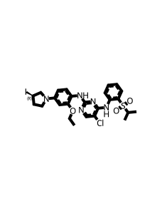 CCOc1cc(N2CC[C@@H](I)C2)ccc1Nc1ncc(Cl)c(Nc2ccccc2S(=O)(=O)C(C)C)n1